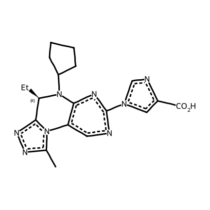 CC[C@@H]1c2nnc(C)n2-c2cnc(-n3cnc(C(=O)O)c3)nc2N1C1CCCC1